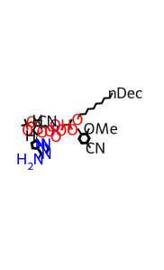 CCCCCCCCCCCCCCCCCCOCC(COP(=O)(O)OC[C@@]1(C#N)O[C@@H](c2ccc3c(N)ncnn23)[C@@H]2OC(C)(C)O[C@@H]21)OCc1ccc(C#N)cc1OC